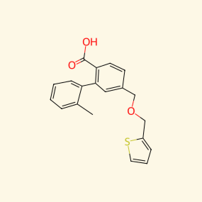 Cc1ccccc1-c1cc(COCc2cccs2)ccc1C(=O)O